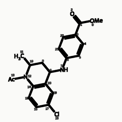 COC(=O)c1ccc(NC2CC(C)N(C(C)=O)c3ccc(Cl)cc32)cc1